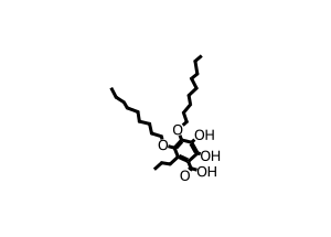 CCCCCCCCCOc1c(O)c(O)c(C(=O)O)c(CCC)c1OCCCCCCCCC